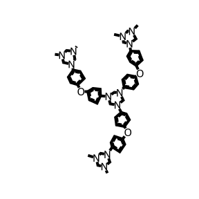 CN1CN(C)CN(c2ccc(Oc3ccc(N4CN(c5ccc(Oc6ccc(N7CN(C)CN(C)C7)cc6)cc5)CN(c5ccc(Oc6ccc(N7CN(C)CN(C)C7)cc6)cc5)C4)cc3)cc2)C1